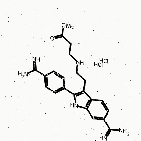 COC(=O)CCNCCc1c(-c2ccc(C(=N)N)cc2)[nH]c2cc(C(=N)N)ccc12.Cl.Cl